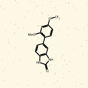 COc1cc(OC(F)(F)F)ccc1-c1ccc2[nH]c(=O)[nH]c2c1